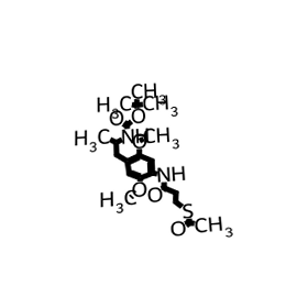 COc1cc(NC(=O)CCSC(C)=O)c(OC)cc1CC(C)NC(=O)OC(C)(C)C